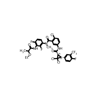 CCOC(C)C(=O)Nc1c(F)ccc(N(C)C(=O)c2cc(NC(=O)[C@H]3[C@H](c4ccc(F)c(C(F)(F)F)c4)C3(Cl)Cl)ccc2Cl)c1F